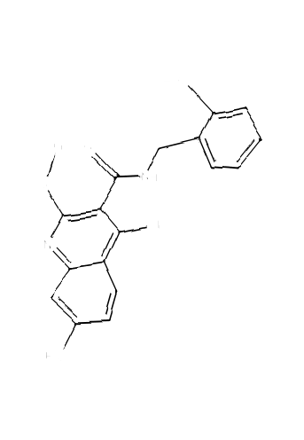 CCSc1nc2cc(C(F)(F)F)ccc2c(C)c1C(=O)NCc1ccccc1C